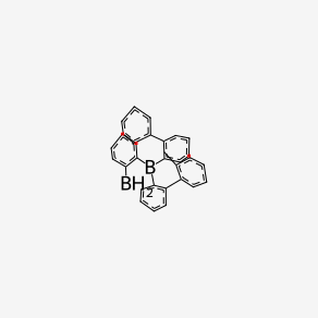 Bc1ccccc1B(c1ccccc1-c1ccccc1)c1ccccc1-c1ccccc1C